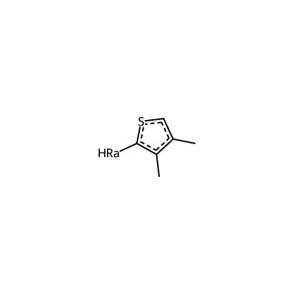 Cc1cs[c]([RaH])c1C